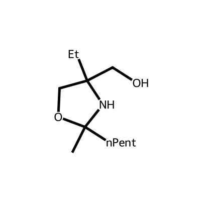 CCCCCC1(C)NC(CC)(CO)CO1